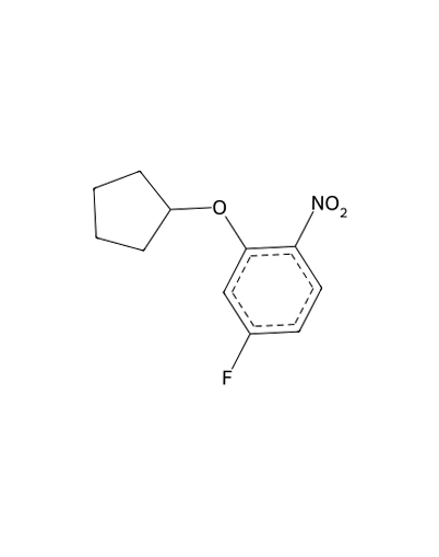 O=[N+]([O-])c1ccc(F)cc1OC1CCCC1